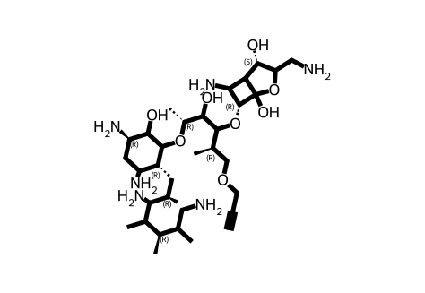 C#CCOC[C@@H](C)C(O[C@@H]1C(N)C2[C@H](O)C(CN)OC21O)C(O)[C@@H](C)OC1C(O)[C@H](N)CC(N)[C@H]1C[C@@H](C)C(N)C(C)[C@H](C)C(C)CN